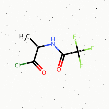 CC(NC(=O)C(F)(F)F)C(=O)Cl